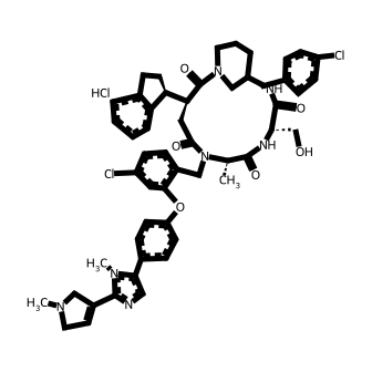 C[C@H]1C(=O)N[C@@H](CO)C(=O)N[C@@]2(Cc3ccc(Cl)cc3)CCCN(C2)C(=O)[C@H]([C@@H]2CCc3ccccc32)CC(=O)N1Cc1ccc(Cl)cc1Oc1ccc(-c2cnc(C3=CCN(C)C3)n2C)cc1.Cl